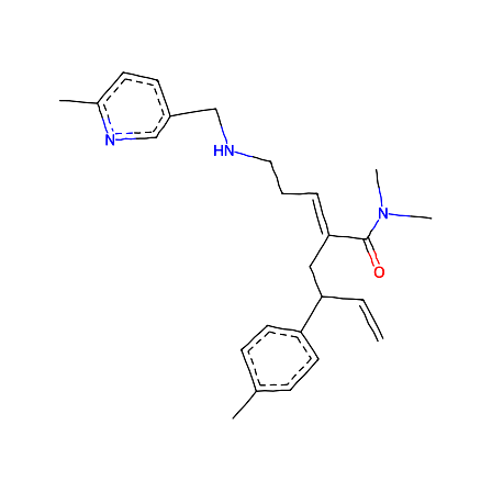 C=CC(C/C(=C\CCNCc1ccc(C)nc1)C(=O)N(C)C)c1ccc(C)cc1